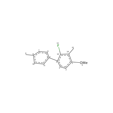 COc1ccc(-c2ccc(C)cc2)c(F)c1C